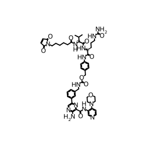 CC(C)[C@H](NC(=O)CCCCCN1C(=O)C=CC1=O)C(=O)N[C@@H](CCCNC(N)=O)C(=O)Nc1ccc(COC(=O)NCc2cccc(-c3cnc(N)c(C(=O)Nc4cnccc4N4CCOCC4)n3)c2)cc1